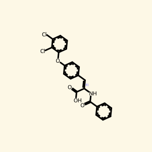 O=C(O)/C(=C\c1ccc(Oc2cccc(Cl)c2Cl)cc1)NC(=O)c1ccccc1